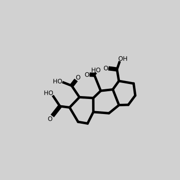 O=C(O)C1CCC2CC3CCCC(C(=O)O)C3C(C(=O)O)C2C1C(=O)O